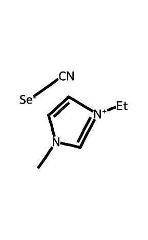 CC[n+]1ccn(C)c1.N#C[Se-]